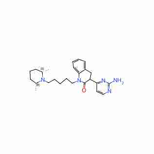 C[C@@H]1CCC[C@H](C)N1CCCCCN1C(=O)C(c2ccnc(N)n2)Cc2ccccc21